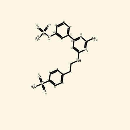 Nc1nc(NCCc2ccc(S(N)(=O)=O)cc2)cc(-c2cccc(OS(=O)(=O)C(F)(F)F)c2)n1